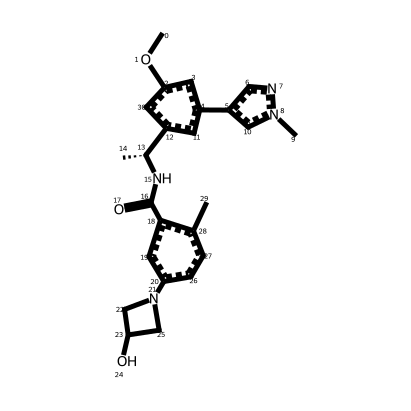 COc1cc(-c2cnn(C)c2)cc([C@@H](C)NC(=O)c2cc(N3CC(O)C3)ccc2C)c1